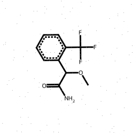 COC(C(N)=O)c1ccccc1C(F)(F)F